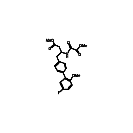 COC(=O)CC(Cc1ccc(-c2cc(F)ccc2OC)cc1)NC(=O)C(=O)OC